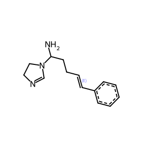 NC(CC/C=C/c1ccccc1)N1C=NCC1